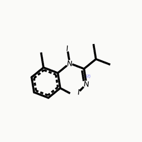 Cc1cccc(C)c1N(I)/C(=N\I)C(C)C